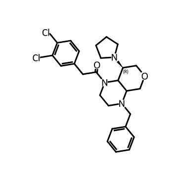 O=C(Cc1ccc(Cl)c(Cl)c1)N1CCN(Cc2ccccc2)C2COC[C@H](N3CCCC3)C21